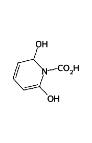 O=C(O)N1C(O)=CC=CC1O